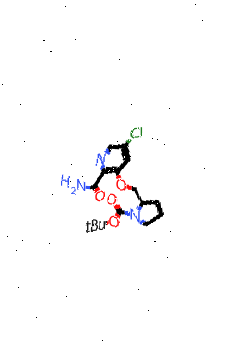 CC(C)(C)OC(=O)N1CCC[C@@H]1COc1cc(Cl)cnc1C(N)=O